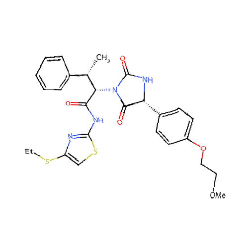 CCSc1csc(NC(=O)[C@H]([C@@H](C)c2ccccc2)N2C(=O)N[C@H](c3ccc(OCCOC)cc3)C2=O)n1